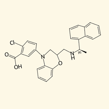 C[C@@H](NCC1CN(c2ccc(Cl)c(C(=O)O)c2)c2ccccc2O1)c1cccc2ccccc12